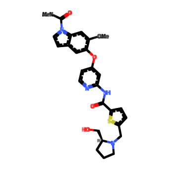 CNC(=O)n1ccc2cc(Oc3ccnc(NC(=O)c4ccc(CN5CCC[C@H]5CO)s4)c3)c(OC)cc21